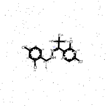 C[C@@H](N/N=C(\c1ncc(Cl)nc1Cl)C(F)(F)F)c1ccc(Cl)cc1Cl